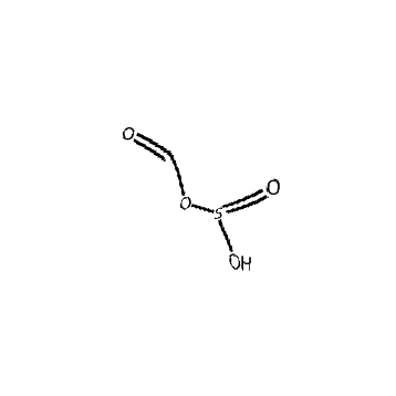 O=COS(=O)O